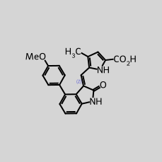 COc1ccc(-c2cccc3c2/C(=C/c2[nH]c(C(=O)O)cc2C)C(=O)N3)cc1